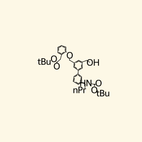 CCCC(NC(=O)OC(C)(C)C)c1cccc(-c2cc(CO)cc(COc3ccccc3CC(=O)OC(C)(C)C)c2)c1